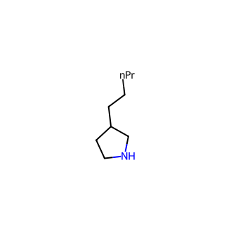 CCCCCC1CCNC1